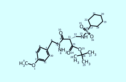 COc1ccc(CN(N)C(=O)[C@H](CNS(=O)(=O)C2CCCCC2)C(=O)OC(C)(C)C)cc1